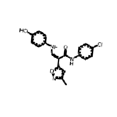 Cc1cc(C(=CNc2ccc(O)cc2)C(=O)Nc2ccc(Cl)cc2)on1